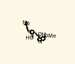 COc1ccc2nccc([C@@H](O)CC[C@@H]3CCN(CC#Cc4cnco4)C[C@@H]3CO)c2c1